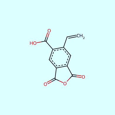 C=Cc1cc2c(cc1C(=O)O)C(=O)OC2=O